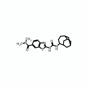 CN(C)C(=O)c1ccc2nc(NC(=O)NC3CCC4CC5CC4CC3C5)sc2c1